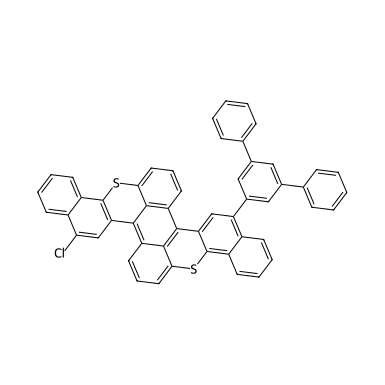 Clc1cc2c(sc3cccc4c3c2c2cccc3sc5c6ccccc6c(-c6cc(-c7ccccc7)cc(-c7ccccc7)c6)cc5c4c32)c2ccccc12